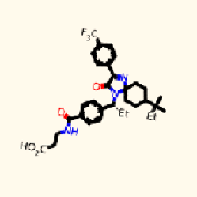 CC[C@H](c1ccc(C(=O)NCCC(=O)O)cc1)N1C(=O)C(c2ccc(C(F)(F)F)cc2)=NC12CCC(C(C)(C)CC)CC2